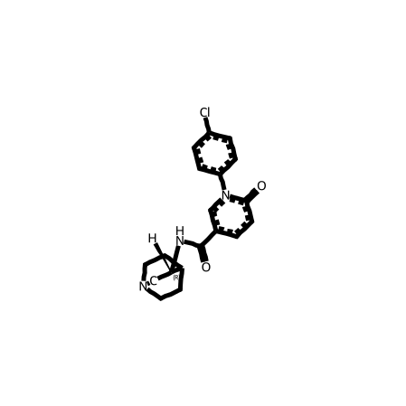 O=C(N[C@H]1CN2CCC1CC2)c1ccc(=O)n(-c2ccc(Cl)cc2)c1